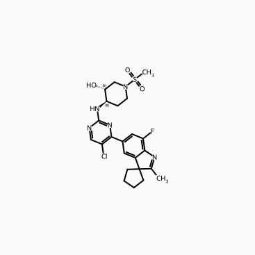 CC1=Nc2c(F)cc(-c3nc(N[C@@H]4CCN(S(C)(=O)=O)C[C@H]4O)ncc3Cl)cc2C12CCCC2